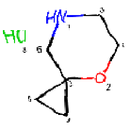 C1COC2(CC2)CN1.Cl